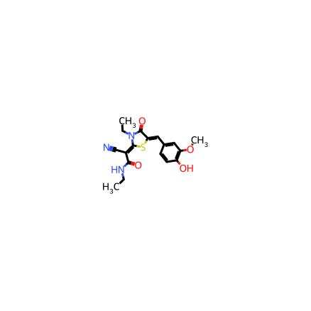 CCNC(=O)/C(C#N)=c1\s/c(=C\c2ccc(O)c(OC)c2)c(=O)n1CC